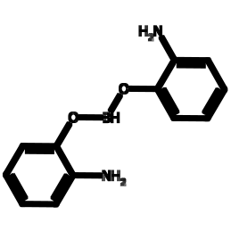 Nc1ccccc1OBOc1ccccc1N